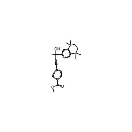 COC(=O)c1ccc(C#CC(C)(O)c2ccc3c(c2)C(C)(C)CCC3(C)C)cc1